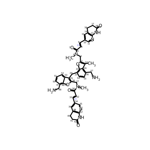 Cc1c(CN(C)C(=O)/C=C/c2cnc3c(c2)CCC(=O)N3)oc2c(Cc3c(CN(C)C(=O)/C=C/c4cnc5c(c4)CCC(=O)N5)oc4c(CN)cccc34)ccc(CN)c12